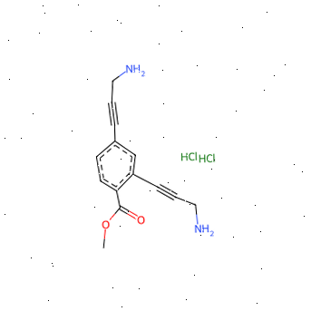 COC(=O)c1ccc(C#CCN)cc1C#CCN.Cl.Cl